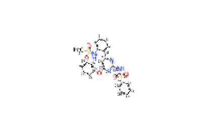 CS(=O)(=O)Nc1ccccc1-c1cc(Oc2ccccc2)nc(NS(=O)(=O)c2ccccc2)n1